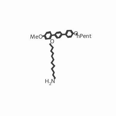 CCCCCOc1ccc(-c2ccc(-c3ccc(OC)cc3OCCCCCCCCCCCCN)cc2)cc1